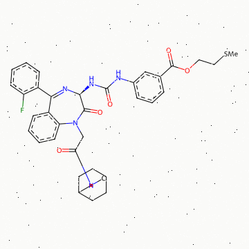 CSCCOC(=O)c1cccc(NC(=O)N[C@@H]2N=C(c3ccccc3F)c3ccccc3N(CC(=O)N3CC4CCC(CC4)C3)C2=O)c1